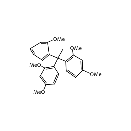 COc1ccc(C(C)(c2ccccc2OC)c2ccc(OC)cc2OC)c(OC)c1